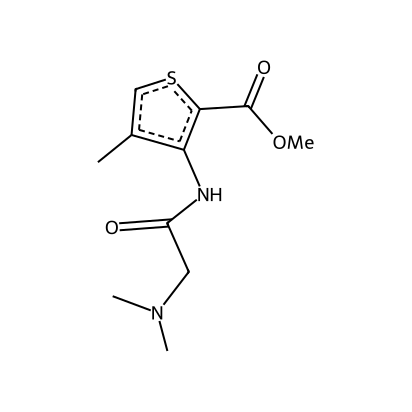 COC(=O)c1scc(C)c1NC(=O)CN(C)C